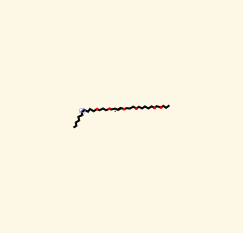 CCCCCC/C=C\CCCCCCCCC[CH]C=CCCCCCCCCCCCCCCCC